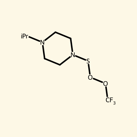 CC(C)N1CCN(SOOC(F)(F)F)CC1